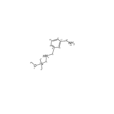 CO[Si](C)(C)CNCc1cccc(CN)c1